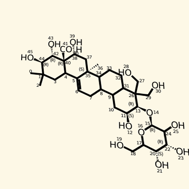 CC1(C)CC2C3=CCC4C5C[C@H](O)[C@H](O[C@@H]6OC(CO)[C@@H](O)[C@@H](O)C6O)C(CO)(CO)C5CCC4[C@]3(C)C[C@@H](O)[C@@]2(C(=O)O)[C@@H](O)[C@@H]1O